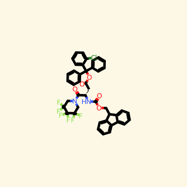 O=C(C[C@H](NC(=O)OCC1c2ccccc2-c2ccccc21)C(=O)N1CC(F)(F)C(F)(F)C(F)(F)C1)OC(c1ccccc1)(c1ccccc1)c1ccccc1Cl